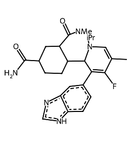 CNC(=O)C1CC(C(N)=O)CCC1C1C(c2ccc3[nH]cnc3c2)=C(F)C(C)=CN1C(C)C